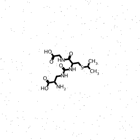 CC(C)SCC(NC(=O)NCC(N)C(=O)O)C(=O)NCC(=O)O